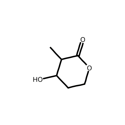 CC1C(=O)OCCC1O